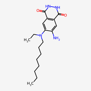 CCCCCCCCN(CC)c1cc2c(=O)[nH][nH]c(=O)c2cc1N